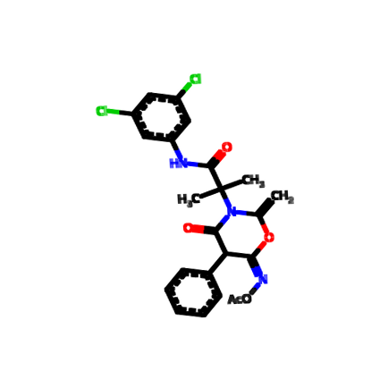 C=C1OC(=NOC(C)=O)C(c2ccccc2)C(=O)N1C(C)(C)C(=O)Nc1cc(Cl)cc(Cl)c1